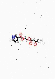 CC(=O)CC(=O)OCCOC(=O)c1cccnc1